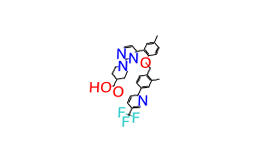 Cc1ccc(OCc2ccc(-c3ccc(C(F)(F)F)cn3)cc2C)c(-c2ccnc(N3CCC(C(=O)O)CC3)n2)c1